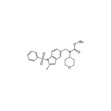 CC(C)(C)OC(=O)N(Cc1ccc2c(c1)cc(I)n2S(=O)(=O)c1ccccc1)C1CCOCC1